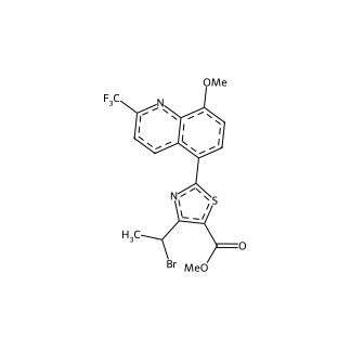 COC(=O)c1sc(-c2ccc(OC)c3nc(C(F)(F)F)ccc23)nc1C(C)Br